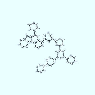 c1ccc(-c2ccc(-c3cc(-c4ccccc4)nc(-c4cccc(-c5cccc(-c6cccc7c6nc(-c6ccccc6)c6oc8ccccc8c67)c5)c4)n3)cc2)cc1